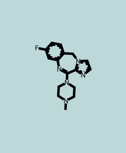 CN1CCN(C2=Nc3cc(F)ccc3Cn3ccnc32)CC1